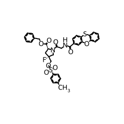 Cc1ccc(S(=O)(=O)OC[C@@]2(F)C[C@@H](C(=O)OCc3ccccc3)N(C(=O)CNC(=O)c3ccc4c(c3)Oc3ccccc3S4)C2)cc1